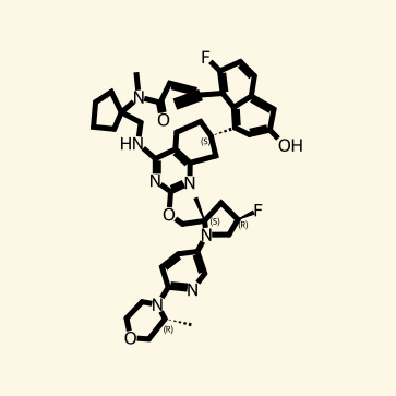 C#Cc1c(F)ccc2cc(O)cc([C@H]3CCc4c(nc(OC[C@]5(C)C[C@@H](F)CN5c5ccc(N6CCOC[C@H]6C)nc5)nc4NCC4(N(C)C(=O)C=C)CCCC4)C3)c12